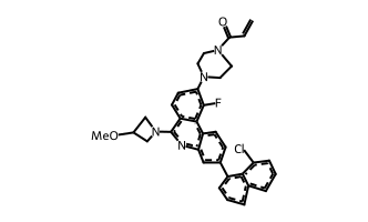 C=CC(=O)N1CCN(c2ccc3c(N4CC(OC)C4)nc4cc(-c5cccc6cccc(Cl)c56)ccc4c3c2F)CC1